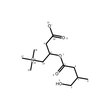 CC(CO)CC(=O)OC(CC(=O)[O-])C[N+](C)(C)C